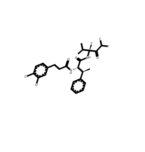 CC(C)[C@@](F)(NC(=O)[C@@H](NC(=O)CCc1ccc(Cl)c(Cl)c1)[C@@H](C)c1ccccc1)C(=O)C(F)F